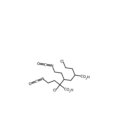 O=C=NCCC(CC(CCCl)C(=O)O)C(Cl)(CCN=C=O)C(=O)O